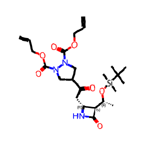 C=CCOC(=O)N1CC(C(=O)C[C@H]2NC(=O)[C@@H]2[C@@H](C)O[Si](C)(C)C(C)(C)C)CN1C(=O)OCC=C